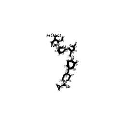 CCc1c(C(=O)O)cnn1-c1cccc(-c2sc(C)cc2COc2ccc(C3CCN(C(=O)C4CC4)CC3)cc2C)n1